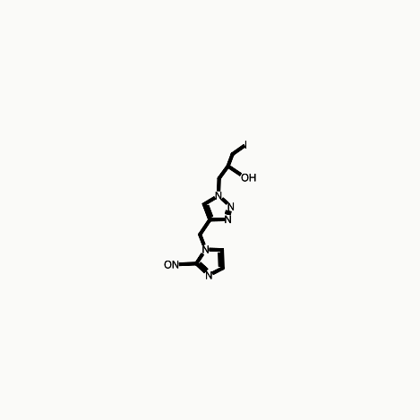 O=Nc1nccn1Cc1cn(CC(O)CI)nn1